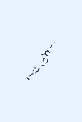 COCCOc1cnc(N2CCN(CCN(C)c3cc4nc(-c5ncco5)nn4c(N)n3)CC2)c(C(F)(F)F)c1